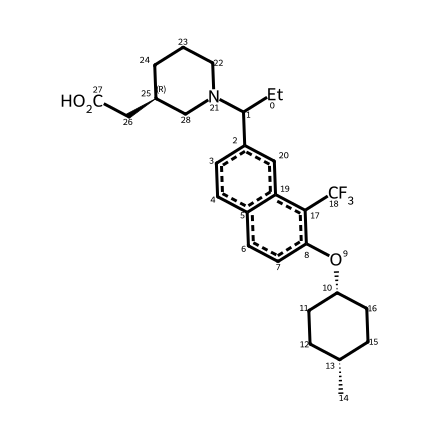 CCC(c1ccc2ccc(O[C@H]3CC[C@@H](C)CC3)c(C(F)(F)F)c2c1)N1CCC[C@H](CC(=O)O)C1